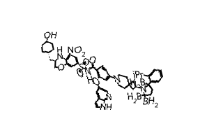 BC1(B)CCC(B)(c2ccccc2C(C)C)N1C1CC2(CCN(c3ccc(C(=O)NS(=O)(=O)c4cc5c(c([N+](=O)[O-])c4)N[C@H](C[C@H]4CC[C@H](O)CC4)CO5)c(Oc4cnc5[nH]ccc5c4)c3)CC2)C1